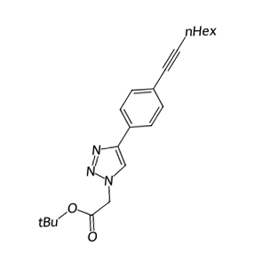 CCCCCCC#Cc1ccc(-c2cn(CC(=O)OC(C)(C)C)nn2)cc1